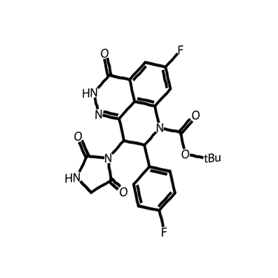 CC(C)(C)OC(=O)N1c2cc(F)cc3c(=O)[nH]nc(c23)C(N2C(=O)CNC2=O)C1c1ccc(F)cc1